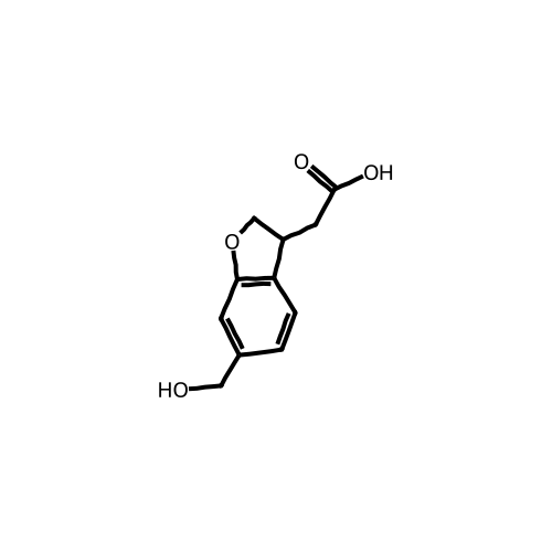 O=C(O)CC1COc2cc(CO)ccc21